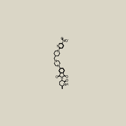 C=C1CCC(N2C(=O)c3ccc(N4CCN(CC5CCN(c6ccc([N+](=O)[O-])cn6)CC5)CC4)cc3C2=O)C(=O)N1